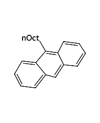 CCCCCCCCc1c2ccccc2cc2ccccc12